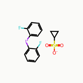 Fc1ccccc1[I+]c1ccccc1F.O=S(=O)([O-])C1CC1